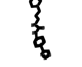 O=C(NCCCN1CCCCC1)Nc1ccc(-c2csnn2)cc1